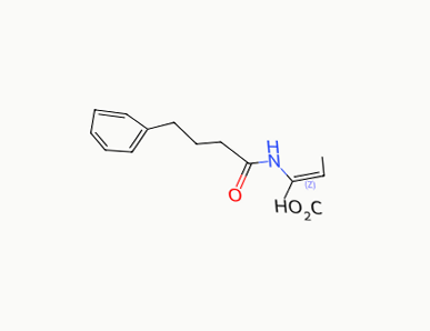 C/C=C(\NC(=O)CCCc1ccccc1)C(=O)O